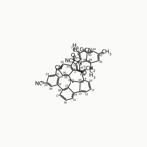 C=C(/C=C(C#N)\C=C(/C)C#N)c1cccc2c3cccc(-c4cc(C#N)cc(C#N)c4)c3n(-c3cccc4c3C(=O)N(c3c(C)cc(C)cc3C)C4=O)c12